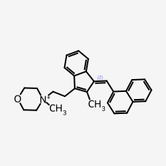 CC1=C(CC[N+]2(C)CCOCC2)c2ccccc2/C1=C/c1cccc2ccccc12